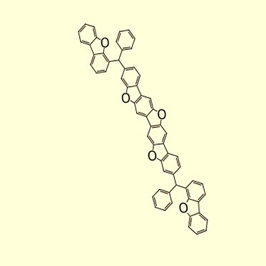 c1ccc(C(c2ccc3c(c2)oc2cc4c(cc23)oc2cc3c(cc24)oc2cc(C(c4ccccc4)c4cccc5c4oc4ccccc45)ccc23)c2cccc3c2oc2ccccc23)cc1